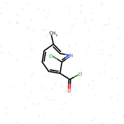 CC1=C\N=C(Cl)\C(C(=O)Cl)=C/C=C\1